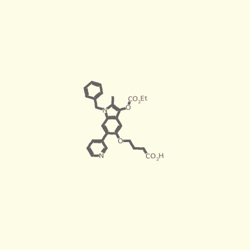 CCOC(=O)Oc1c(C)n(Cc2ccccc2)c2cc(-c3cccnc3)c(OCCCC(=O)O)cc12